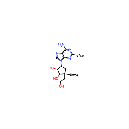 C#C[C@]1(CCO)CC(n2cnc3c(N)nc(SC)nc32)[C@H](O)[C@@H]1O